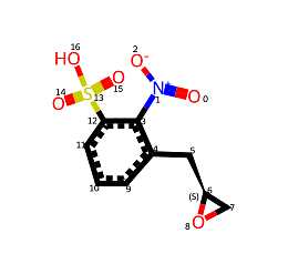 O=[N+]([O-])c1c(C[C@H]2CO2)cccc1S(=O)(=O)O